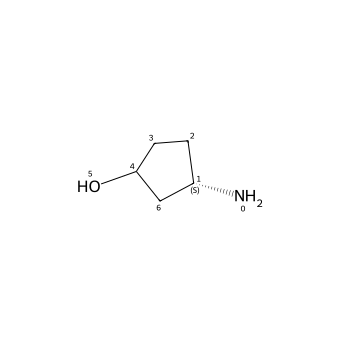 N[C@H]1CCC(O)C1